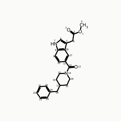 COC(=O)Cc1c[nH]c2ccc(C(=O)N3CCC(Cc4ccccc4)CC3)cc12